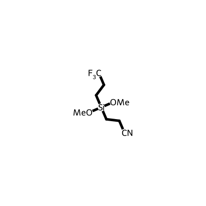 CO[Si](CCC#N)(CCC(F)(F)F)OC